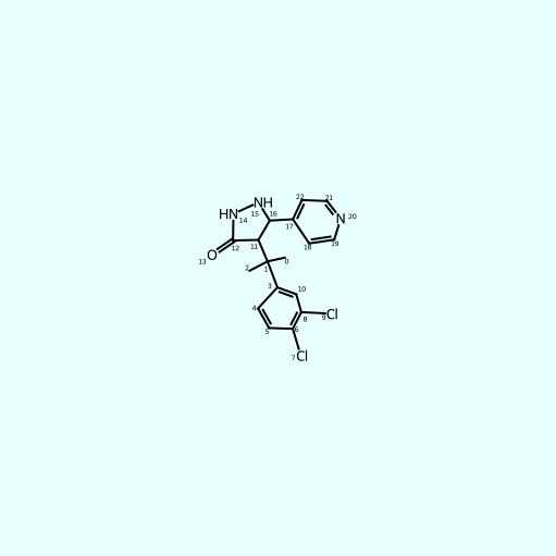 CC(C)(c1ccc(Cl)c(Cl)c1)C1C(=O)NNC1c1ccncc1